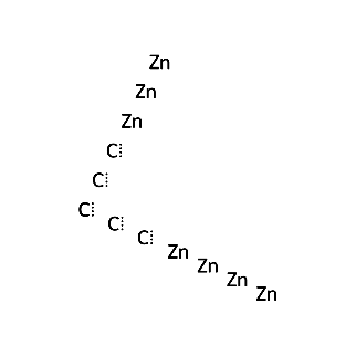 [C].[C].[C].[C].[C].[Zn].[Zn].[Zn].[Zn].[Zn].[Zn].[Zn]